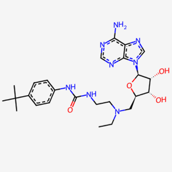 CCN(CCNC(=O)Nc1ccc(C(C)(C)C)cc1)C[C@H]1O[C@@H](n2cnc3c(N)ncnc32)[C@H](O)[C@@H]1O